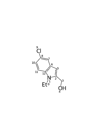 CCn1c(CO)cc2cc(Cl)ccc21